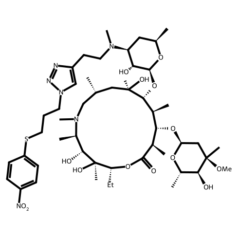 CC[C@H]1OC(=O)[C@H](C)[C@@H](O[C@H]2C[C@@](C)(OC)[C@@H](O)[C@H](C)O2)[C@H](C)[C@@H](O[C@@H]2O[C@H](C)C[C@H](N(C)CCc3cn(CCCSc4ccc([N+](=O)[O-])cc4)nn3)[C@H]2O)[C@](C)(O)C[C@@H](C)CN(C)[C@H](C)[C@@H](O)[C@]1(C)O